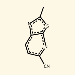 Cc1nc2ccc(C#N)nc2s1